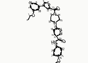 CCOc1cncc(-c2csc(C(=O)N3CCN(c4ccc(C(=O)Nc5ccc(OC)cc5)nn4)CC3)c2)c1